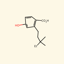 CCC(C)(C)CCc1cc(O)ccc1C(=O)O